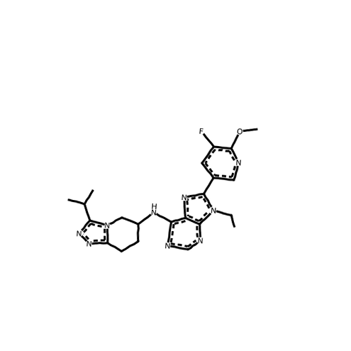 CCn1c(-c2cnc(OC)c(F)c2)nc2c(NC3CCc4nnc(C(C)C)n4C3)ncnc21